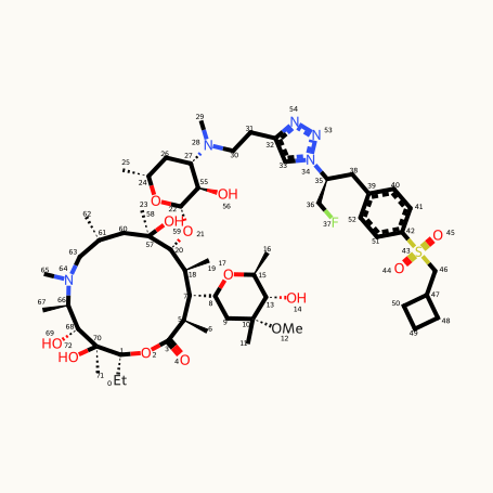 CC[C@H]1OC(=O)[C@H](C)[C@@H](C2C[C@@](C)(OC)[C@@H](O)[C@H](C)O2)[C@H](C)[C@@H](O[C@@H]2O[C@H](C)C[C@H](N(C)CCc3cn([C@H](CF)Cc4ccc(S(=O)(=O)CC5CCC5)cc4)nn3)[C@H]2O)[C@](C)(O)C[C@@H](C)CN(C)[C@H](C)[C@@H](O)[C@]1(C)O